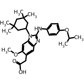 COc1cc2c(cc1CC(=O)O)nc(Nc1ccc(OC(C)C)cc1)n2C1CC(C)(C)CC(C)(C)C1